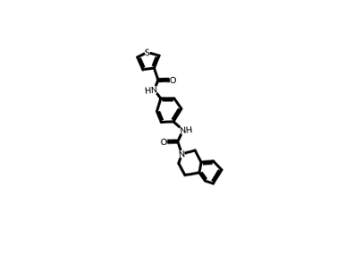 O=C(Nc1ccc(NC(=O)N2CCc3ccccc3C2)cc1)c1ccsc1